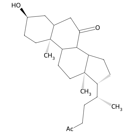 CC(=O)CC[C@@H](C)[C@H]1CCC2C3C(=O)CC4C[C@H](O)CC[C@]4(C)C3CC[C@@]21C